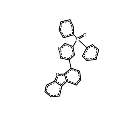 O=P(c1ccccc1)(c1ccccc1)c1cncc(-c2cccc3c2oc2ccccc23)c1